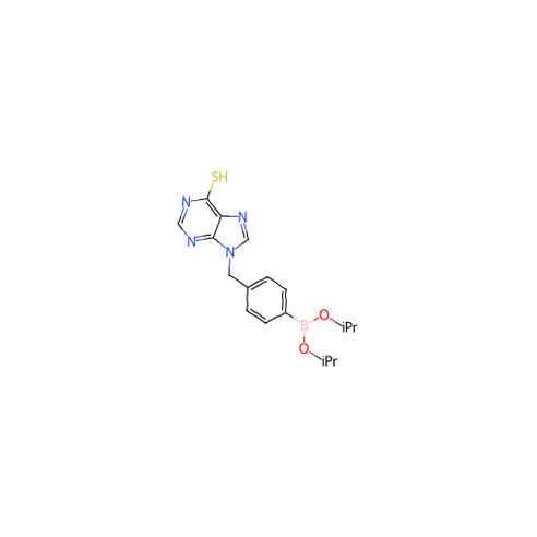 CC(C)OB(OC(C)C)c1ccc(Cn2cnc3c(S)ncnc32)cc1